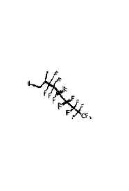 CC(CI)C(F)(F)C(F)(F)C(F)(F)C(F)(F)C(F)(F)C(F)(F)C(F)(F)F